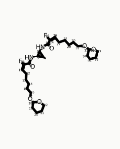 O=C(N[C@H]1C[C@H]1NC(=O)/C(F)=C\CCCCCOC1CCCCO1)/C(F)=C\CCCCCOC1CCCCO1